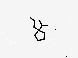 CCCC1(C(C)C)[C]CCC1